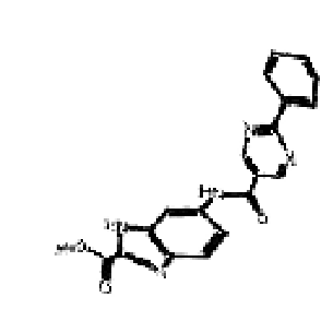 COC(=O)c1nc2ccc(NC(=O)c3cnc(-c4ccccc4)nc3)cc2[nH]1